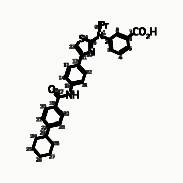 CC(C)N(c1cccc(C(=O)O)c1)c1nc(-c2ccc(NC(=O)c3ccc(C4CCCCC4)cc3)cc2)cs1